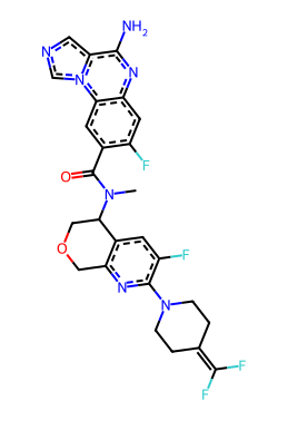 CN(C(=O)c1cc2c(cc1F)nc(N)c1cncn12)C1COCc2nc(N3CCC(=C(F)F)CC3)c(F)cc21